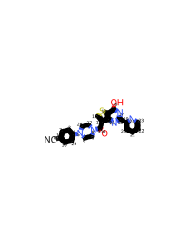 N#Cc1ccc(N2CCN(C(=O)c3csc4c(O)nc(-c5ccccn5)nc34)CC2)cc1